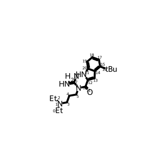 CCN(CC)CCCN(C(=N)N)C(=O)c1cc2c(C(C)(C)C)cccc2[nH]1